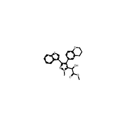 COC(=O)C(O)c1c(-c2ccc3c(c2)CCCO3)c(-c2csc3ccccc23)nn1C